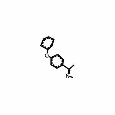 C/N=C(\C)c1ccc(Oc2ccccc2)cc1